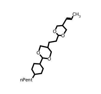 C/C=C/C1COC(CCC2COC(C3CCC(CCCCC)CC3)OC2)OC1